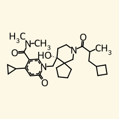 CC(CC1CCC1)C(=O)N1CC[C@](O)(Cn2cc(C(=O)N(C)C)c(C3CC3)cc2=O)C2(CCCC2)C1